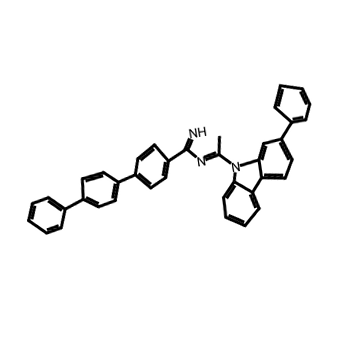 C/C(=N\C(=N)c1ccc(-c2ccc(-c3ccccc3)cc2)cc1)n1c2ccccc2c2ccc(-c3ccccc3)cc21